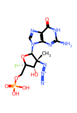 C[C@]1(N=[N+]=[N-])[C@H](n2cnc3c(=O)[nH]c(N)nc32)O[C@](F)(COP(=O)(O)O)[C@H]1O